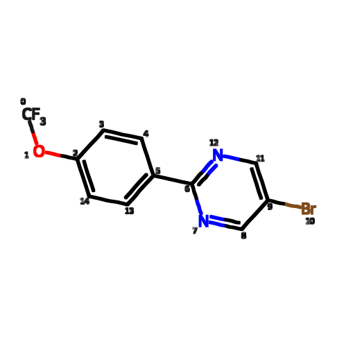 FC(F)(F)Oc1ccc(-c2ncc(Br)cn2)cc1